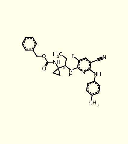 CC[C@@H](Nc1nc(Nc2ccc(C)cc2)c(C#N)cc1F)C1(NC(=O)OCc2ccccc2)CC1